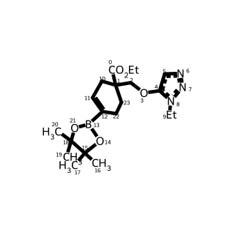 CCOC(=O)C1(COc2cnnn2CC)CC=C(B2OC(C)(C)C(C)(C)O2)CC1